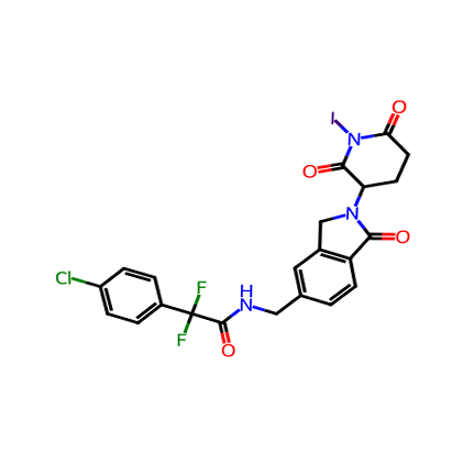 O=C1CCC(N2Cc3cc(CNC(=O)C(F)(F)c4ccc(Cl)cc4)ccc3C2=O)C(=O)N1I